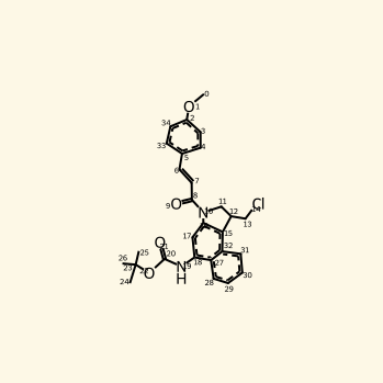 COc1ccc(/C=C/C(=O)N2CC(CCl)c3c2cc(NC(=O)OC(C)(C)C)c2ccccc32)cc1